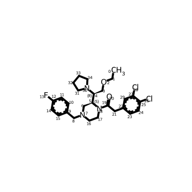 CCOC[C@@H]([C@@H]1CN(Cc2ccc(F)cc2)CCN1C(=O)Cc1ccc(Cl)c(Cl)c1)N1CCCC1